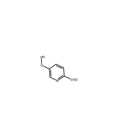 CCCOc1ccc(C=O)nc1